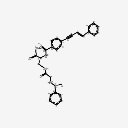 COC(=O)[C@H](CNC(=O)CN[C@@H](C)c1ccccc1)NC(=O)c1ccc(C#CC=Cc2ccccc2)cc1